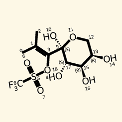 CC(C)=C(OS(=O)(=O)C(F)(F)F)[C@@]1(O)OC[C@@H](O)[C@@H](O)[C@@H]1O